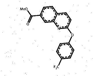 COC(=O)c1ccc2ccc(Oc3ccc(C(F)(F)F)cc3)nc2c1